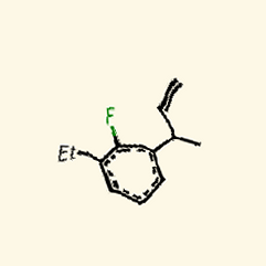 C=C[C](C)c1cccc(CC)c1F